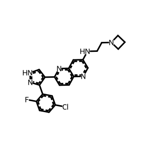 Fc1ccc(Cl)cc1-c1n[nH]cc1-c1ccc2ncc(NCCN3CCC3)cc2n1